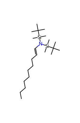 CCCCCCCCC=CN([Si](C)(C)C(C)(C)C)[Si](C)(C)C(C)(C)C